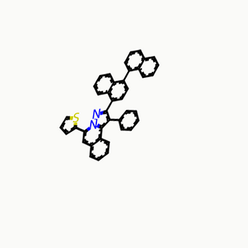 c1ccc(-c2c(-c3ccc(-c4cccc5ccccc45)c4ccccc34)nn3c(-c4cccs4)cc4ccccc4c23)cc1